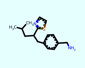 CC(C)CC(Cc1ccc(CN)cc1)c1nccs1